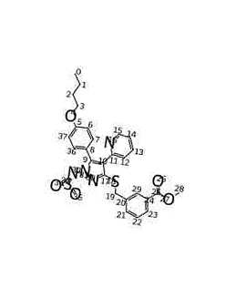 CCCCOc1ccc(-c2c(-c3ccccn3)c(SCc3cccc(C(=O)OC)c3)nn2N=S(=O)=O)cc1